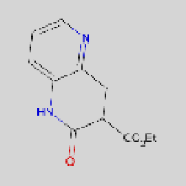 CCOC(=O)C1Cc2ncccc2NC1=O